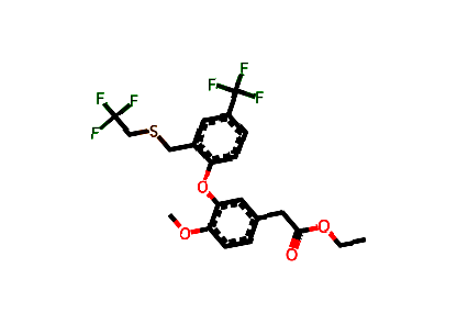 CCOC(=O)Cc1ccc(OC)c(Oc2ccc(C(F)(F)F)cc2CSCC(F)(F)F)c1